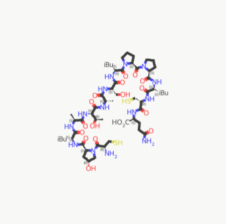 CC[C@H](C)[C@H](NC(=O)[C@@H]1C[C@@H](O)CN1C(=O)[C@@H](N)CS)C(=O)N[C@@H](C)C(=O)N[C@H](C(=O)N[C@@H](C)C(=O)N[C@@H](CO)C(=O)N[C@H](C(=O)N1CCC[C@H]1C(=O)N1CCC[C@H]1C(=O)N[C@H](C(=O)N[C@@H](CS)C(=O)N[C@@H](CCC(N)=O)C(=O)O)[C@@H](C)CC)[C@@H](C)CC)[C@@H](C)O